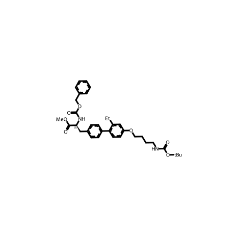 CCc1cc(OCCCCNC(=O)OC(C)(C)C)ccc1-c1ccc(C[C@H](NC(=O)OCc2ccccc2)C(=O)OC)cc1